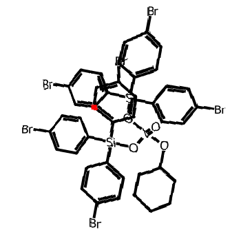 [O]=[V]([O]C1CCCCC1)([O][Si](c1ccc(Br)cc1)(c1ccc(Br)cc1)c1ccc(Br)cc1)[O][Si](c1ccc(Br)cc1)(c1ccc(Br)cc1)c1ccc(Br)cc1